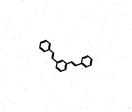 C(=Cc1cccc(C=Cc2ccccc2)c1)c1ccccc1